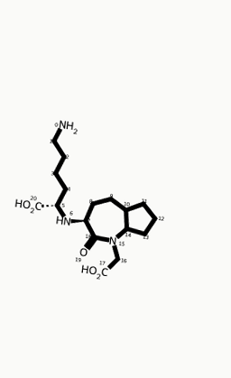 NCCCC[C@H](N[C@H]1CCC2CCCC2N(CC(=O)O)C1=O)C(=O)O